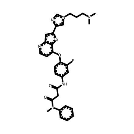 CN(C)CCCn1cnc(-c2cc3nccc(Oc4ccc(NC(=O)CC(=O)N(C)c5ccccc5)cc4F)c3s2)c1